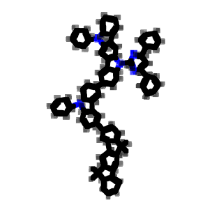 CC1(C)c2ccccc2-c2cc3c(cc21)-c1cc(-c2ccc4c(c2)c2cc(-c5ccc6c(c5)c5cc7c(cc5n6-c5nc(-c6ccccc6)cc(-c6ccccc6)n5)c5ccccc5n7-c5ccccc5)ccc2n4-c2ccccc2)ccc1C3(C)C